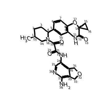 C[C@H]1CCC(c2ccc3c(c2)NC(=O)C2(CC2)O3)N(C(=O)C(=O)Nc2cnc(N)c3c2COC3)C1